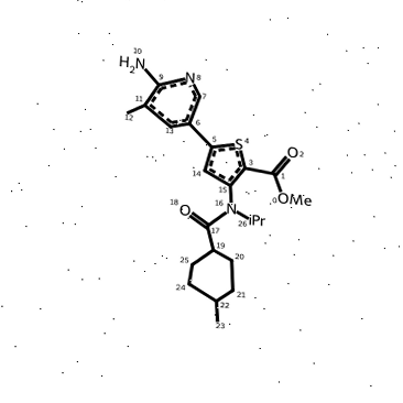 COC(=O)c1sc(-c2cnc(N)c(C)c2)cc1N(C(=O)C1CCC(C)CC1)C(C)C